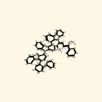 C=C/C(=C\C=C(/C)c1ccccc1)n1c2ccccc2c2cccc(-c3cccc4c3c3ccccc3n4-c3ccc(-c4ccccc4-c4ccccc4)c4c3sc3ccccc34)c21